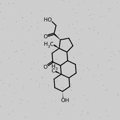 C[C@]12CC[C@@H](O)CC1CCC1C2C(=O)C[C@@]2(C)C1CC[C@@H]2C(=O)CO